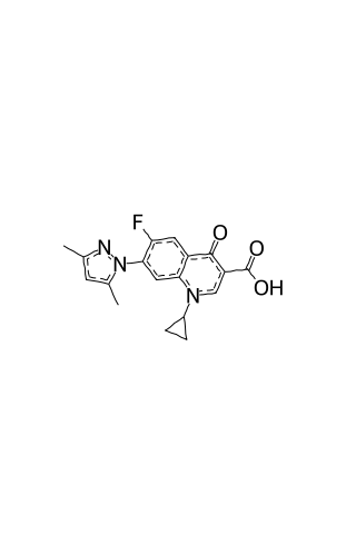 Cc1cc(C)n(-c2cc3c(cc2F)c(=O)c(C(=O)O)cn3C2CC2)n1